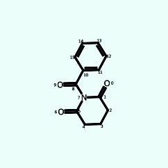 O=C1CCCC(=O)N1C(=O)c1ccccc1